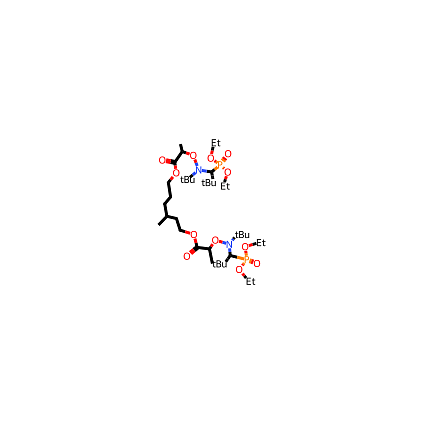 CCOP(=O)(OCC)C(N(OC(C)C(=O)OCCCC(C)CCOC(=O)C(C)ON(C(C(C)(C)C)P(=O)(OCC)OCC)C(C)(C)C)C(C)(C)C)C(C)(C)C